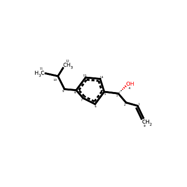 C=CC[C@@H](O)c1ccc(CC(C)C)cc1